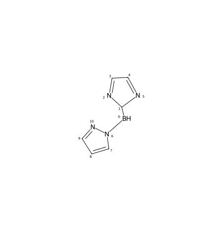 B(C1N=CC=N1)n1cccn1